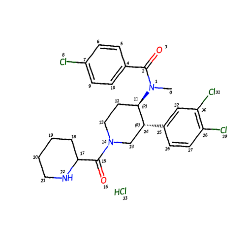 CN(C(=O)c1ccc(Cl)cc1)[C@@H]1CCN(C(=O)C2CCCCN2)C[C@H]1c1ccc(Cl)c(Cl)c1.Cl